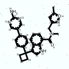 Cc1cc(CN(C)C(=O)c2cccc3c(C4(c5ccc(-c6cnc(N)nc6)cc5)CCC4)c[nH]c23)no1